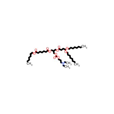 CCCCC/C=C\OC(=O)CCCCCC(=O)OCC(COC(=O)CCC(OCCCCCCCC)OCCCCCCCC)COC(=O)OCCCN(CC)CC